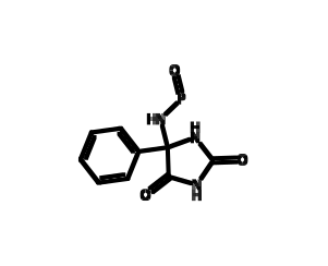 O=PNC1(c2ccccc2)NC(=O)NC1=O